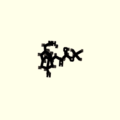 CC(C)(C)OC(=O)NCC12CC3C[C@H](CC(CN)(C3)C1)C2